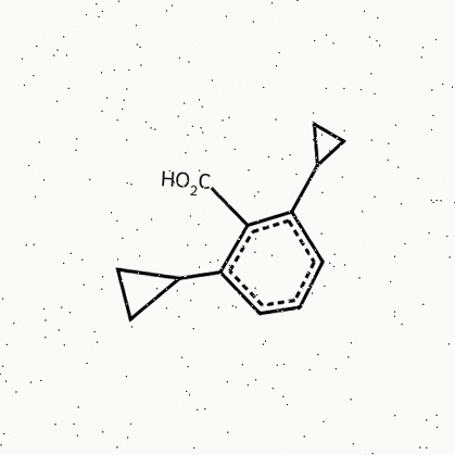 O=C(O)c1c(C2CC2)cccc1C1CC1